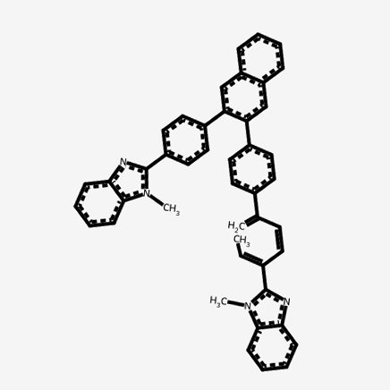 C=C(/C=C\C(=C/C)c1nc2ccccc2n1C)c1ccc(-c2cc3ccccc3cc2-c2ccc(-c3nc4ccccc4n3C)cc2)cc1